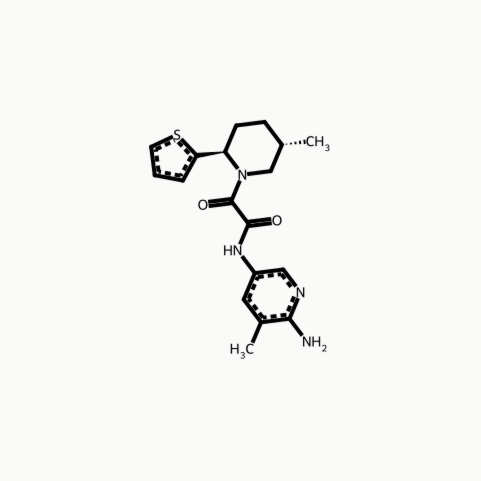 Cc1cc(NC(=O)C(=O)N2C[C@@H](C)CC[C@@H]2c2cccs2)cnc1N